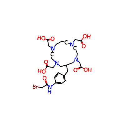 O=C(O)CN1CCCN(CC(=O)O)CCN(CC(=O)O)CC(Cc2ccc(NC(=O)CBr)cc2)CN(CC(=O)O)CC1